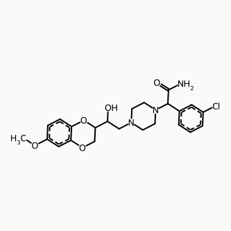 COc1ccc2c(c1)OCC(C(O)CN1CCN(C(C(N)=O)c3cccc(Cl)c3)CC1)O2